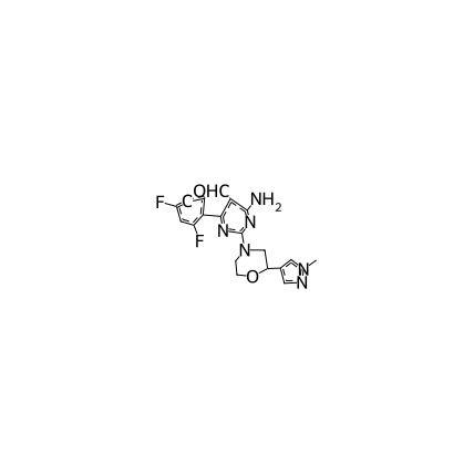 Cn1cc(C2CN(c3nc(N)c(C=O)c(-c4ccc(F)cc4F)n3)CCO2)cn1